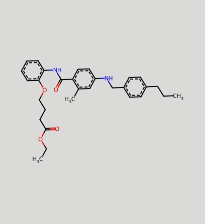 CCCc1ccc(CNc2ccc(C(=O)Nc3ccccc3OCCCC(=O)OCC)c(C)c2)cc1